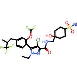 CCn1nc(C(=O)NCC2(O)CCC(S(N)(=O)=O)CC2)c(Cl)c1-c1ccc(CC(C)C(F)(F)F)cc1OC(F)F